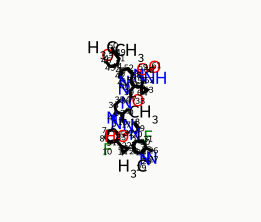 C[C@H]1c2c(nn(-c3ccc(F)c(C4CC4)c3)c2N2C=CN(c3ccc4c(cnn4C)c3F)C2O)CCN1C(=O)c1nn2cc([C@@H]3CCOC(C)(C)C3)ccc2c1C1(c2noc(=O)[nH]2)CC1